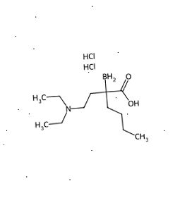 BC(CCCC)(CCN(CC)CC)C(=O)O.Cl.Cl